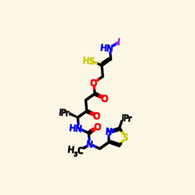 CC(C)c1nc(CN(C)C(=O)N[C@H](C(=O)CC(=O)OC/C(S)=C/NI)C(C)C)cs1